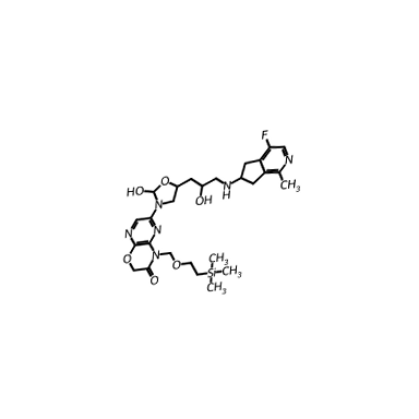 Cc1ncc(F)c2c1CC(NCC(O)CC1CN(c3cnc4c(n3)N(COCC[Si](C)(C)C)C(=O)CO4)C(O)O1)C2